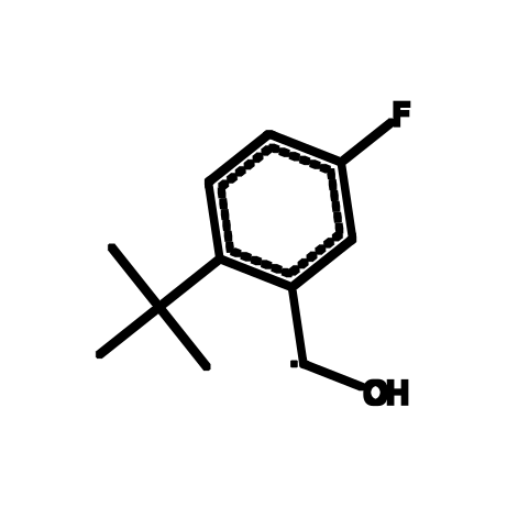 CC(C)(C)c1ccc(F)cc1[CH]O